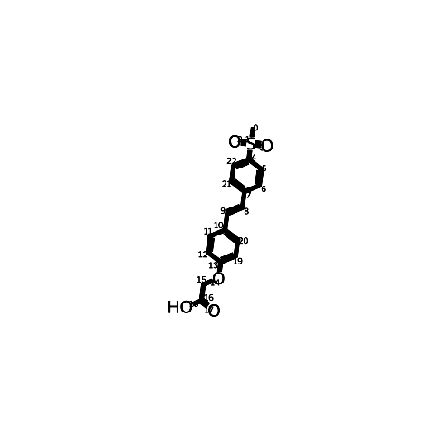 CS(=O)(=O)c1ccc(C=Cc2ccc(OCC(=O)O)cc2)cc1